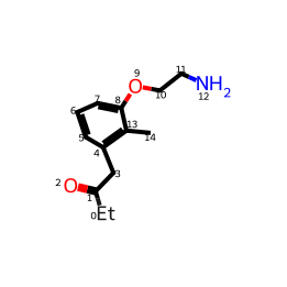 CCC(=O)Cc1cccc(OCCN)c1C